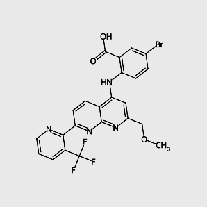 COCc1cc(Nc2ccc(Br)cc2C(=O)O)c2ccc(-c3ncccc3C(F)(F)F)nc2n1